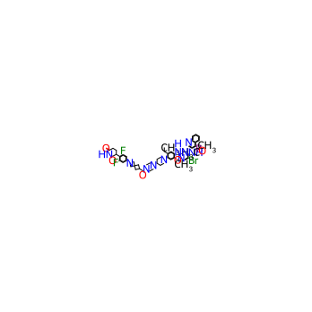 CCc1cc(Nc2ncc(Br)c(Nc3cnc4ccccc4c3P(C)(C)=O)n2)c(OC)cc1N1CCC(N2CCN(C(=O)C3CC4(C3)CN(c3cc(F)c(C5CCC(=O)NC5=O)c(F)c3)C4)CC2)CC1